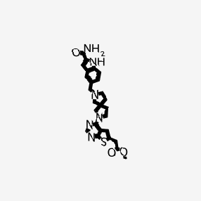 COC(=O)Cc1cc2c(N3CCC4(CCN(Cc5ccc6[nH]c(C(N)=O)cc6c5)C4)C3)ncnc2s1